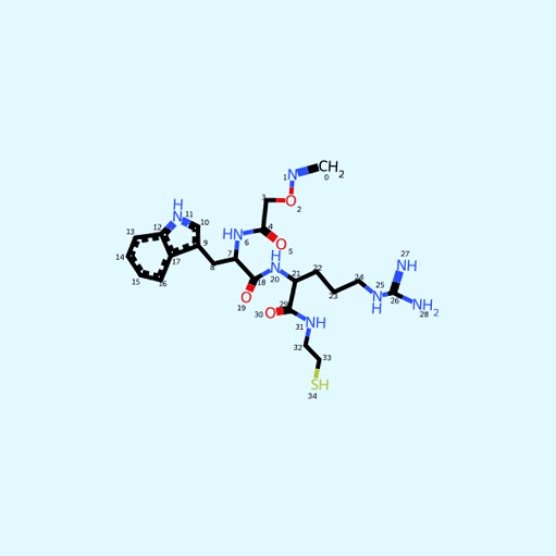 C=NOCC(=O)NC(Cc1c[nH]c2ccccc12)C(=O)NC(CCCNC(=N)N)C(=O)NCCS